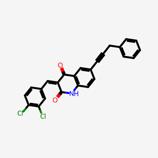 O=C1Nc2ccc(C#CCc3ccccc3)cc2C(=O)/C1=C/c1ccc(Cl)c(Cl)c1